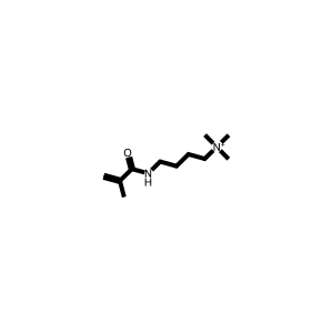 C=C(C)C(=O)NCCCC[N+](C)(C)C